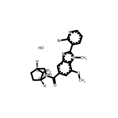 COc1cc(C(=O)N2C[C@H]3CC[C@@H]2[C@@H]3N)cc2nc(-c3cccnc3Br)n(C)c12.Cl